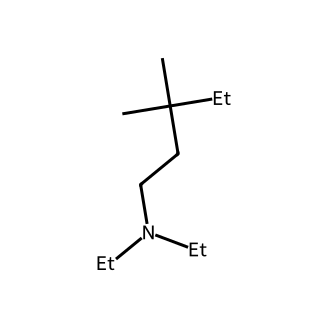 CCN(CC)CCC(C)(C)CC